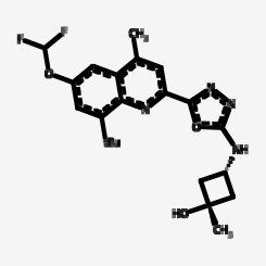 Cc1cc(-c2nnc(N[C@H]3C[C@@](C)(O)C3)o2)nc2c(C(C)(C)C)cc(OC(F)F)cc12